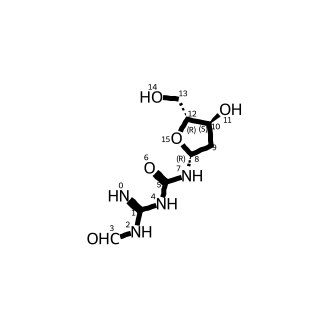 N=C(NC=O)NC(=O)N[C@H]1C[C@H](O)[C@@H](CO)O1